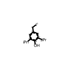 CC(C)c1cc(CI)cc(C(C)C)c1O